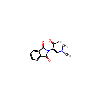 CC(=O)/C(=C\N(C)C)N1C(=O)c2ccccc2C1=O